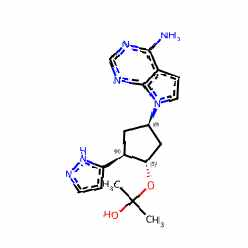 CC(C)(O)O[C@H]1C[C@H](n2ccc3c(N)ncnc32)C[C@@H]1c1ccn[nH]1